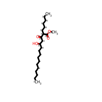 CCCCCCCCCCCC(O)CC(=O)C(CCCCCC)C(=O)OC